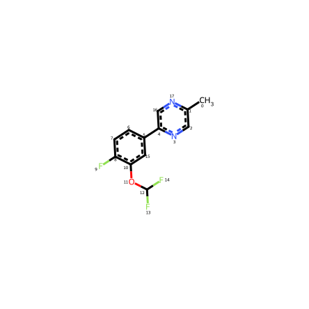 Cc1cnc(-c2ccc(F)c(OC(F)F)c2)cn1